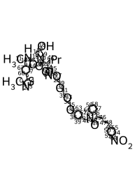 Cc1ncsc1-c1ccc([C@H](C)NC(=O)[C@@H]2C[C@@H](O)CN2C(=O)C(c2cc(OCCOCCOCCOc3ccc(CN4C(=O)C(=C/C=C/c5ccc([N+](=O)[O-])cc5)c5ccccc54)cc3)no2)C(C)C)cc1